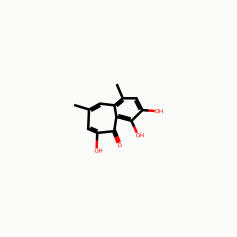 Cc1cc(O)c(=O)c2c(O)c(O)cc(C)c2c1